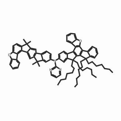 CCCCCCCC1(CCCCCCC)c2ccccc2-c2c1c1c(c3c2oc2ccccc23)-c2ccc(N(c3ccc4c(c3)C(C)(C)c3cc5c(cc3-4)C(C)(C)c3ccc4oc6ccccc6c4c3-5)c3ncccn3)cc2C1(CCCCCCC)CCCCCCC